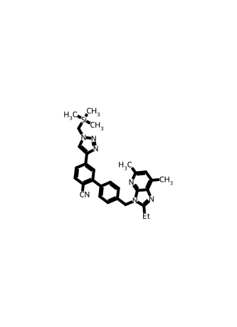 CCc1nc2c(C)cc(C)nc2n1Cc1ccc(-c2cc(-c3cn(C[Si](C)(C)C)nn3)ccc2C#N)cc1